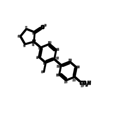 Cc1cc(N2CCCC2=O)ccc1-c1ccc(C(=O)O)cc1